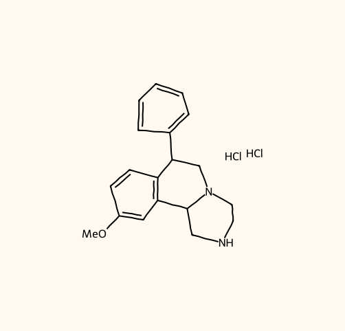 COc1ccc2c(c1)C1CNCCN1CC2c1ccccc1.Cl.Cl